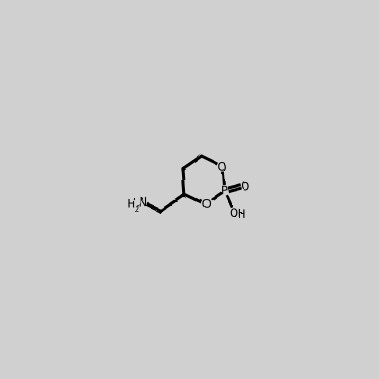 NCC1CCOP(=O)(O)O1